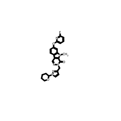 Cn1c2cc(Oc3cccc(F)n3)ccc2c2cnn(Cc3ccn(C4CCCCO4)n3)c(=O)c21